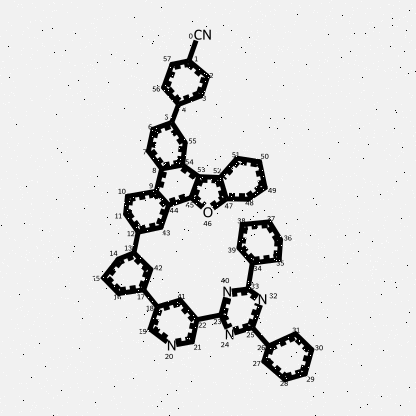 N#Cc1ccc(-c2ccc3c4ccc(-c5cccc(-c6cncc(-c7nc(-c8ccccc8)nc(-c8ccccc8)n7)c6)c5)cc4c4oc5ccccc5c4c3c2)cc1